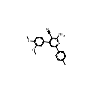 COc1ccc(-c2cc(-c3ccc(C)cc3)nc(N)c2C#N)cc1OC